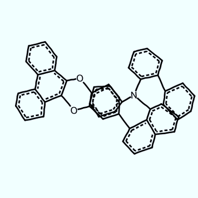 c1ccc(-c2ccccc2N(c2ccccc2)c2cccc3cccc(-c4ccc5c(c4)Oc4c(c6ccccc6c6ccccc46)O5)c23)cc1